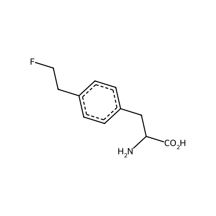 NC(Cc1ccc(CCF)cc1)C(=O)O